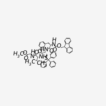 COC(=O)CNC(=O)[C@H](NC(=O)[C@@H](CSC(c1ccccc1)(c1ccccc1)c1ccccc1)NC(=O)[C@@H](Cc1ccccc1)NC(=O)OCC1c2ccccc2-c2ccccc21)C(C)C